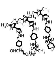 COCCN(C=O)[C@H]1CC[C@H](CNc2nc(-c3nc(C)sc3C)cs2)CC1.Cc1nc(-c2cnc(NC[C@H]3CC[C@H](CNS(=O)(=O)N(C)C)CC3)s2)c(C)s1.Cc1nc(-c2csc(NC[C@H]3CC[C@H](CNS(=O)(=O)N4CCOCC4)CC3)n2)c(C)s1